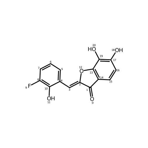 O=C1C(=Cc2cccc(F)c2O)Oc2c1ccc(O)c2O